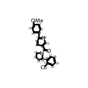 COc1ccc(-c2ccc(C(=O)N3CCC[C@@H]3c3ccccc3Cl)cn2)cc1